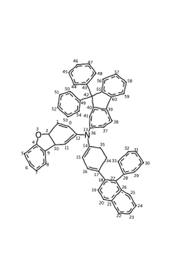 C1=CC2Oc3ccccc3C2C=C1N(C1=CC=C(c2ccc3ccccc3c2-c2ccccc2)CC1)c1ccc2c(c1)C(c1ccccc1)(c1ccccc1)c1ccccc1-2